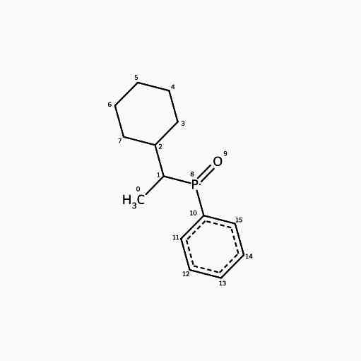 CC(C1CCCCC1)[P](=O)c1ccccc1